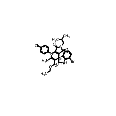 CCOC(=O)C1=C(N)N(c2ccc(Cl)cc2)C2=C(C(=O)N(CC(C)C)C2=O)[C@]12C(=O)Nc1c(Br)cccc12